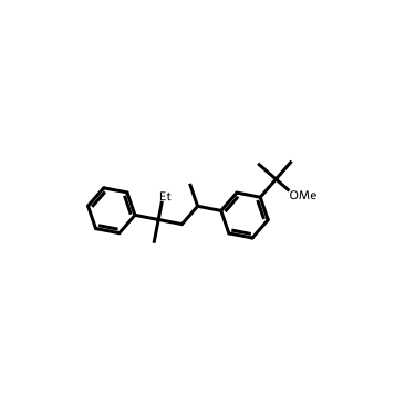 CCC(C)(CC(C)c1cccc(C(C)(C)OC)c1)c1ccccc1